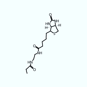 CCC(=O)NCCNC(=O)CCCCC1SC[C@@H]2NC(=O)N[C@H]12